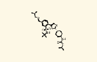 CC(C)COCc1ccc(-c2cnc([C@H]3CC[C@H](NC(=O)OC(C)C)CC3)s2)c(S(=O)(=O)NC(C)(C)C)c1